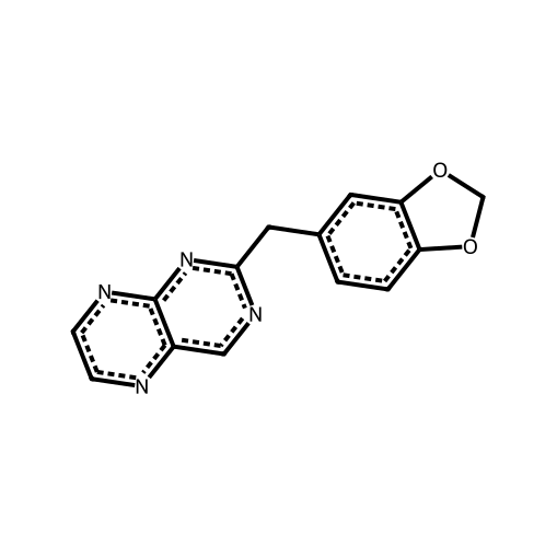 c1cnc2nc(Cc3ccc4c(c3)OCO4)ncc2n1